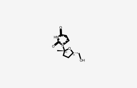 C[C@]1(n2ccc(=O)[nH]c2=O)CC[C@@H](CO)O1